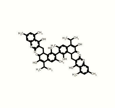 Cc1cc(C)c2c(O)c(CC3C(=O)C(O)=C(C(C)C)c4cc(C)c(-c5c(C)cc6c(c5O)C(Cc5c(O)c7c(C)cc(C)cc7oc5=O)C(=O)C(O)=C6C(C)C)c(O)c43)c(=O)oc2c1